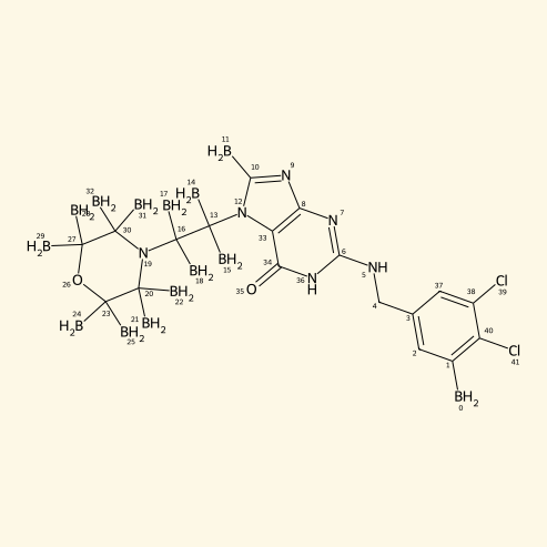 Bc1cc(CNc2nc3nc(B)n(C(B)(B)C(B)(B)N4C(B)(B)C(B)(B)OC(B)(B)C4(B)B)c3c(=O)[nH]2)cc(Cl)c1Cl